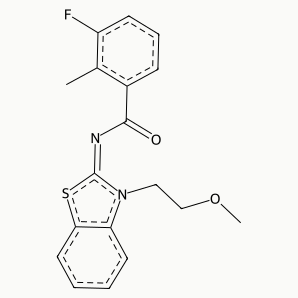 COCCn1c(=NC(=O)c2cccc(F)c2C)sc2ccccc21